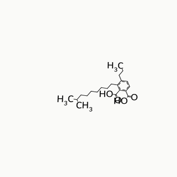 CCCc1ccc(C(=O)O)c(C(=O)O)c1CCCCCCCC(C)C